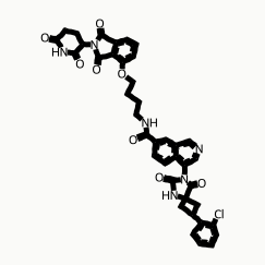 O=C1CCC(N2C(=O)c3cccc(OCCCCNC(=O)c4ccc5c(N6C(=O)NC7(CC(c8ccccc8Cl)C7)C6=O)cncc5c4)c3C2=O)C(=O)N1